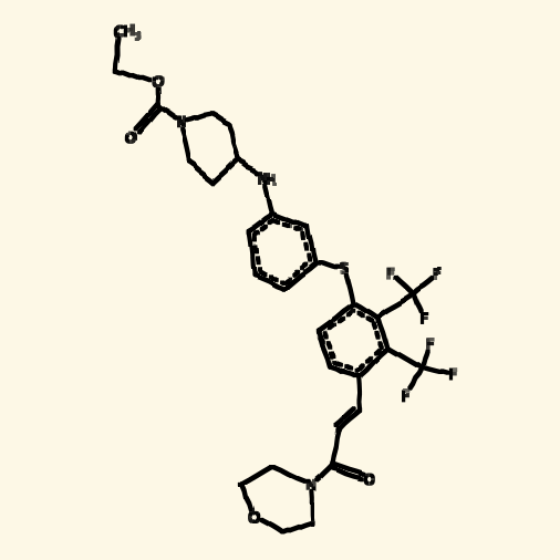 CCOC(=O)N1CCC(Nc2cccc(Sc3ccc(C=CC(=O)N4CCOCC4)c(C(F)(F)F)c3C(F)(F)F)c2)CC1